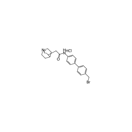 Cl.O=C(CC1CN2CCC1CC2)Nc1ccc(-c2ccc(CBr)cc2)cc1